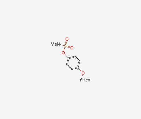 CCCCCCOc1ccc(OS(=O)(=O)NC)cc1